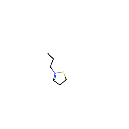 CCC[N+]1=CCCS1